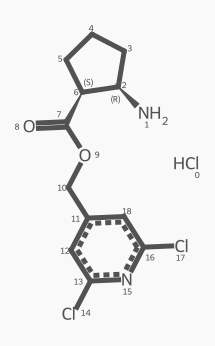 Cl.N[C@@H]1CCC[C@@H]1C(=O)OCc1cc(Cl)nc(Cl)c1